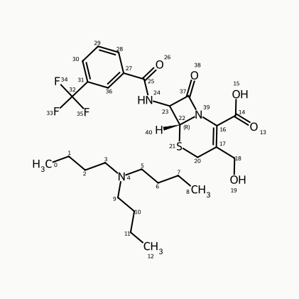 CCCCN(CCCC)CCCC.O=C(O)C1=C(CO)CS[C@@H]2C(NC(=O)c3cccc(C(F)(F)F)c3)C(=O)N12